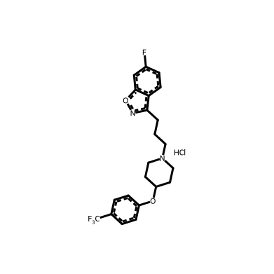 Cl.Fc1ccc2c(CCCN3CCC(Oc4ccc(C(F)(F)F)cc4)CC3)noc2c1